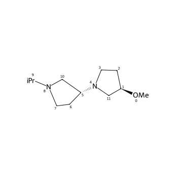 CO[C@@H]1CCN([C@@H]2CCN(C(C)C)C2)C1